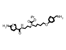 CC(C)OC(=O)N(CCCCOc1ccc(CN)cc1)CCCNC(=O)c1ccc(N)cc1